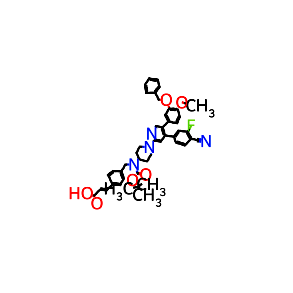 COc1ccc(-c2cnc(N3CCC(N(Cc4ccc(/C=C/C(=O)O)cc4)C(=O)OC(C)(C)C)CC3)cc2-c2ccc(C#N)c(F)c2)cc1OCc1ccccc1